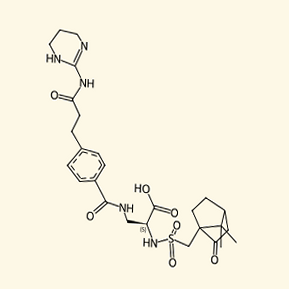 CC1(C)C2CCC1(CS(=O)(=O)N[C@@H](CNC(=O)c1ccc(CCC(=O)NC3=NCCCN3)cc1)C(=O)O)C(=O)C2